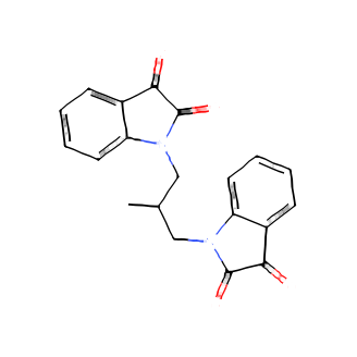 CC(CN1C(=O)C(=O)c2ccccc21)CN1C(=O)C(=O)c2ccccc21